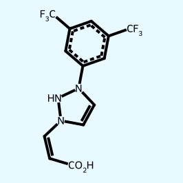 O=C(O)/C=C\N1C=CN(c2cc(C(F)(F)F)cc(C(F)(F)F)c2)N1